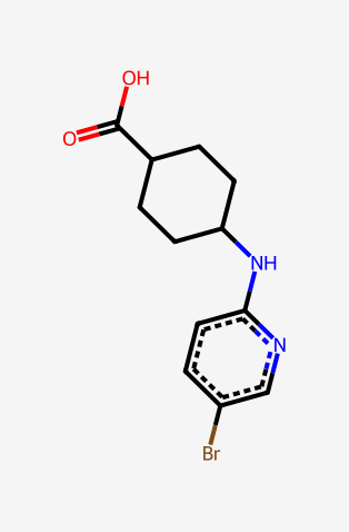 O=C(O)C1CCC(Nc2ccc(Br)cn2)CC1